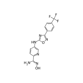 N/C(=N\O)c1ccc(Nc2nc(-c3ccc(C(F)(F)F)cc3)no2)cn1